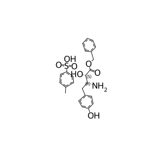 Cc1ccc(S(=O)(=O)O)cc1.N[C@H](Cc1ccc(O)cc1)[C@H](O)C(=O)OCc1ccccc1